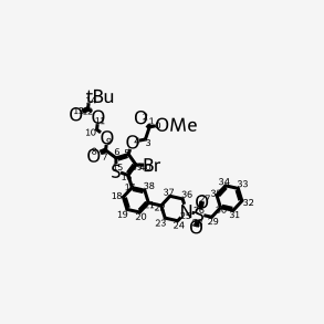 COC(=O)COc1c(C(=O)OCOC(=O)C(C)(C)C)sc(-c2cccc(C3CCN(S(=O)(=O)Cc4ccccc4)CC3)c2)c1Br